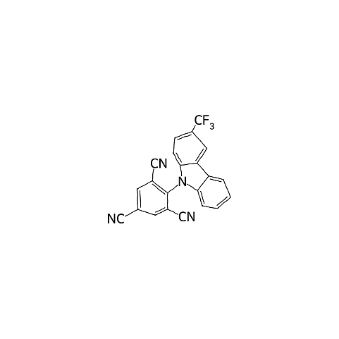 N#Cc1cc(C#N)c(-n2c3ccccc3c3cc(C(F)(F)F)ccc32)c(C#N)c1